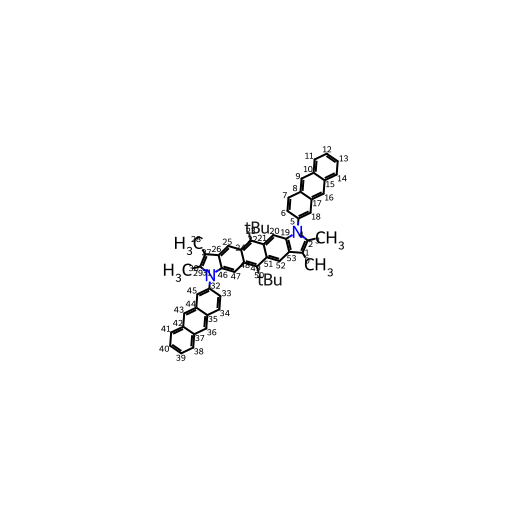 Cc1c(C)n(-c2ccc3cc4ccccc4cc3c2)c2cc3c(C(C)(C)C)c4cc5c(C)c(C)n(-c6ccc7cc8ccccc8cc7c6)c5cc4c(C(C)(C)C)c3cc12